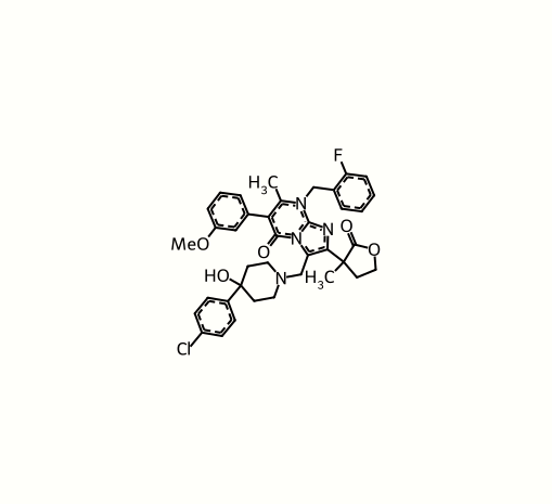 COc1cccc(-c2c(C)n(Cc3ccccc3F)c3nc(C4(C)CCOC4=O)c(CN4CCC(O)(c5ccc(Cl)cc5)CC4)n3c2=O)c1